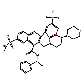 CNS(=O)(=O)c1ccc2nc(-c3cccc(C(F)(F)F)c3)c(CN3CCC(N4CCOCC4)CC3)c(C(=O)N[C@@H](C)c3ccccc3)c2c1